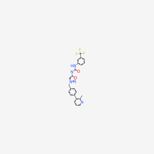 Cc1ncccc1-c1ccc(C[n+]2cc([N-]C(=O)Nc3cccc(C(F)(F)F)c3)on2)cc1